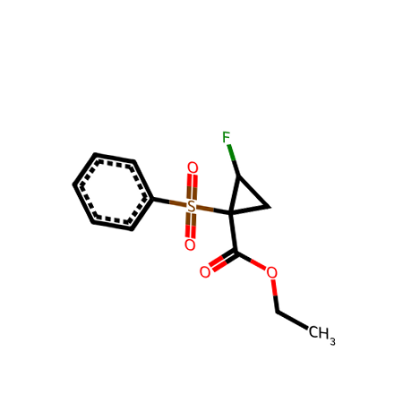 CCOC(=O)C1(S(=O)(=O)c2ccccc2)CC1F